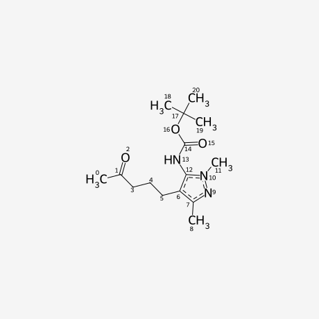 CC(=O)CCCc1c(C)nn(C)c1NC(=O)OC(C)(C)C